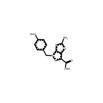 COC(=O)c1nn(Cc2ccc(OC)cc2)c2nc(N)sc12